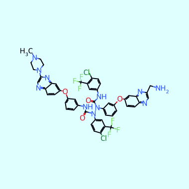 CN1CCN(c2cnc3ccc(Oc4cccc(NC(=O)N(c5ccc(Cl)c(C(F)(F)F)c5)N(C(=O)Nc5ccc(Cl)c(C(F)(F)F)c5)c5cccc(Oc6ccc7ncc(CN)nc7c6)c5)c4)cc3n2)CC1